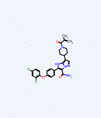 C=C(C)C(=O)N1CCC(c2cnn3c(C(N)=O)c(-c4ccc(Oc5ccc(F)cc5F)cc4)[nH]c23)CC1